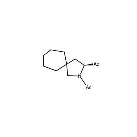 CC(=O)[C@@H]1CC2(CCCCC2)CN1C(C)=O